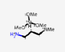 CNCCCN.CO[SiH](OC)OC